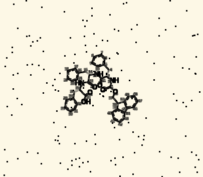 O=C(N[C@@H](Cc1ccccc1)C(=O)N[C@@H](Cc1ccccc1)C(=O)N[C@@H](Cc1ccccc1)C(=O)O)OCC1c2ccccc2-c2ccccc21